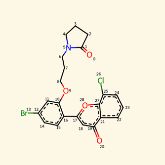 O=C1CCCN1CCCOc1cc(Br)ccc1-c1cc(=O)c2cccc(Cl)c2o1